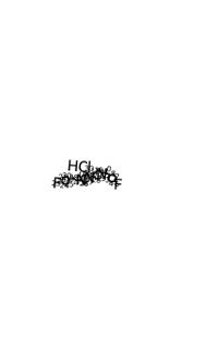 CC(c1ccc(F)cc1)N1CCC(N2CCN(CCc3ccc(F)cc3)CC2)CC1.Cl